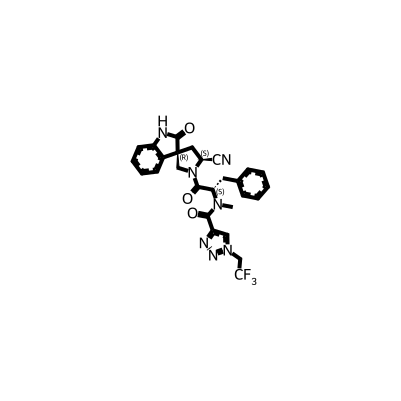 CN(C(=O)c1cn(CC(F)(F)F)nn1)[C@@H](Cc1ccccc1)C(=O)N1C[C@]2(C[C@H]1C#N)C(=O)Nc1ccccc12